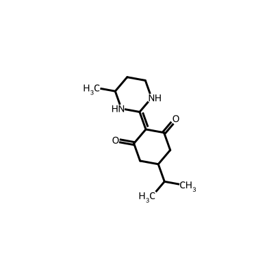 CC1CCNC(=C2C(=O)CC(C(C)C)CC2=O)N1